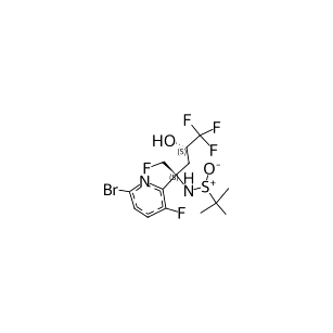 CC(C)(C)[S+]([O-])N[C@@](CF)(C[C@H](O)C(F)(F)F)c1nc(Br)ccc1F